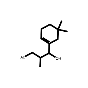 CC(=O)CC(C)C(O)C1=CCCC(C)(C)C1